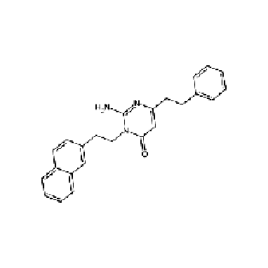 Nc1nc(CCc2ccccc2)cc(=O)n1CCc1ccc2ccccc2c1